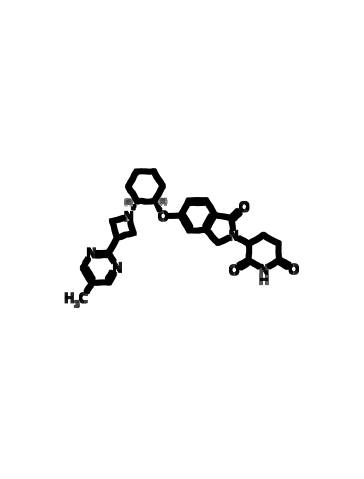 Cc1cnc(C2CN([C@@H]3CCCC[C@H]3Oc3ccc4c(c3)CN(C3CCC(=O)NC3=O)C4=O)C2)nc1